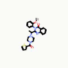 CCOc1ccccc1-n1c(C(C)N2CCN(C(=O)c3cccs3)CC2)nc2ccccc2c1=O